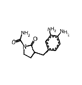 NC(=O)N1CC[C](Cc2ccc(N)c(N)c2)C1=O